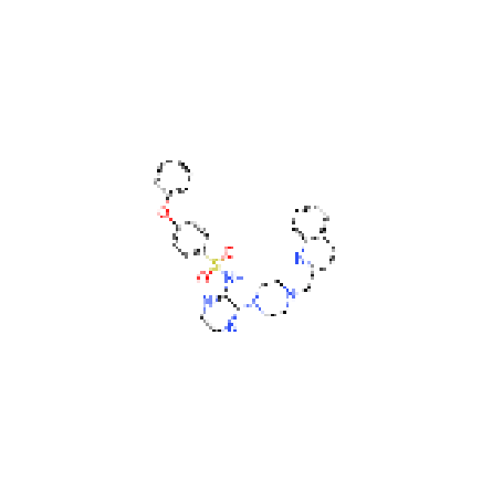 O=S(=O)(Nc1nccnc1N1CCN(Cc2ccc3ccccc3n2)CC1)c1ccc(Oc2ccccc2)cc1